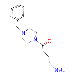 NCCCC(=O)N1CCN(Cc2ccccc2)CC1